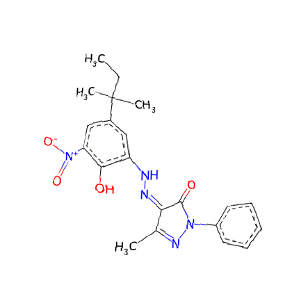 CCC(C)(C)c1cc(NN=C2C(=O)N(c3ccccc3)N=C2C)c(O)c([N+](=O)[O-])c1